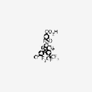 CN1CC2N(C(=O)[C@]3(F)CC[C@@H](C(=O)O)CC3)CCC2(S(=O)(=O)c2ccc(Cl)cc2)c2ccc(C(F)(C(F)(F)F)C(F)(F)F)cc21